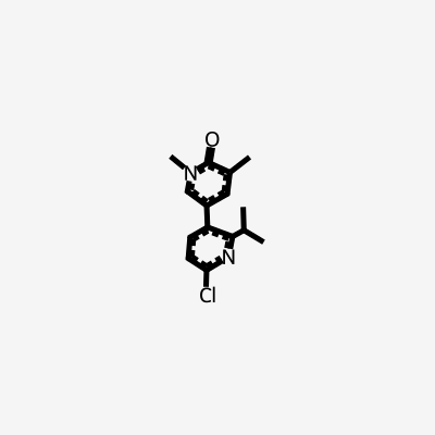 Cc1cc(-c2ccc(Cl)nc2C(C)C)cn(C)c1=O